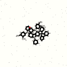 Cc1cc(N(c2ccccc2)c2ccc3c(c2)c2c(N(c4ccccc4)c4ccc(C(C)C)c(C)c4)c4c(cc2n3-c2ccccc2)C2(c3ccccc3-c3ccccc32)c2ccccc2-4)ccc1C(C)C